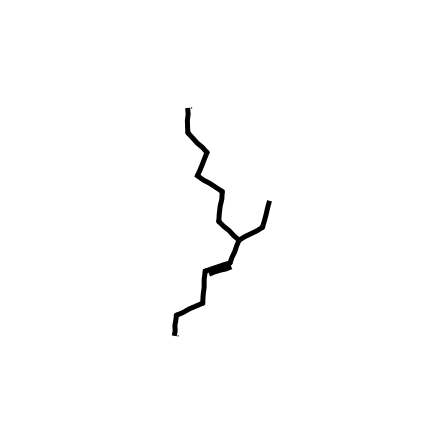 [CH2]CCC=CC(CC)CCCCC[CH2]